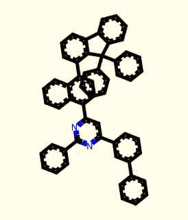 c1ccc(-c2cccc(-c3cc(-c4ccc(-c5cccc6c5C(c5ccccc5)(c5ccccc5)c5ccccc5-6)c5ccccc45)nc(-c4ccccc4)n3)c2)cc1